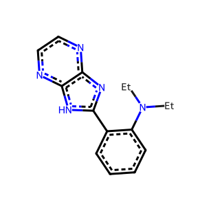 CCN(CC)c1ccccc1-c1nc2nccnc2[nH]1